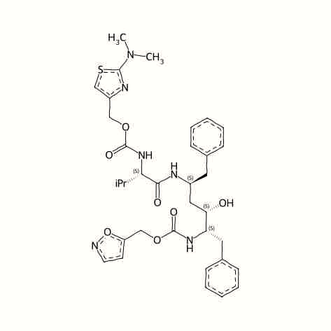 CC(C)[C@H](NC(=O)OCc1csc(N(C)C)n1)C(=O)N[C@@H](Cc1ccccc1)C[C@H](O)[C@H](Cc1ccccc1)NC(=O)OCc1ccno1